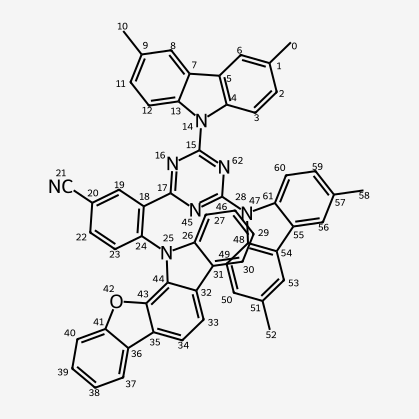 Cc1ccc2c(c1)c1cc(C)ccc1n2-c1nc(-c2cc(C#N)ccc2-n2c3ccccc3c3ccc4c5ccccc5oc4c32)nc(-n2c3ccc(C)cc3c3cc(C)ccc32)n1